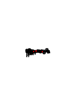 CC(=O)N[C@@H]1[C@H]2OC[C@](COCCOCCOCCOCCNC(=O)/C=C/C(=O)C3CCC3)(O2)[C@H](O)[C@@H]1O